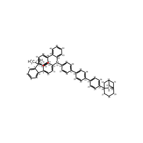 CC1(C)c2ccccc2-c2ccc(N(c3ccc(-c4ccc(-c5ccc(C67CCCC8(CC(C8)C6)C7)cc5)cc4)cc3)c3ccccc3-c3ccccc3)cc21